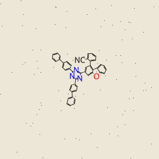 N#Cc1ccccc1-c1cc(-c2nc(-c3ccc(-c4ccccc4)cc3)nc(-c3ccc(-c4ccccc4)cc3)n2)cc2oc3ccccc3c12